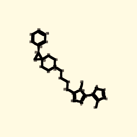 Cc1ncoc1-c1nnc(SCCCN2CCC3(CC2)C[C@H]3c2ccccc2)n1C